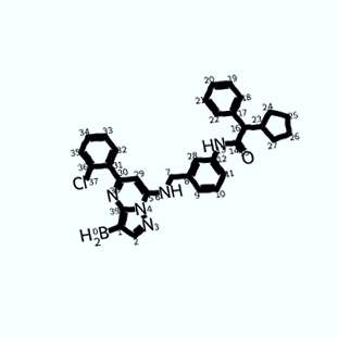 Bc1cnn2c(NCc3cccc(NC(=O)C(c4ccccc4)C4CCCC4)c3)cc(-c3ccccc3Cl)nc12